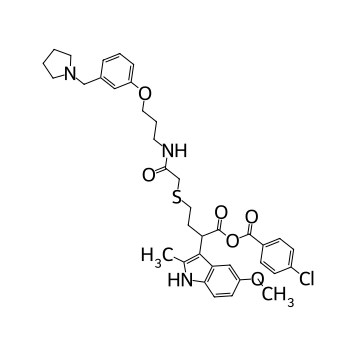 COc1ccc2[nH]c(C)c(C(CCSCC(=O)NCCCOc3cccc(CN4CCCC4)c3)C(=O)OC(=O)c3ccc(Cl)cc3)c2c1